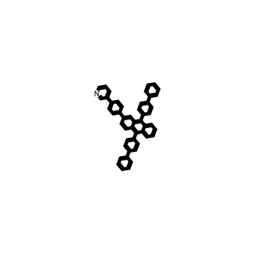 c1ccc(-c2ccc(-c3c4ccccc4c(-c4ccc(-c5ccccc5)cc4)c4cc(-c5ccc(-c6cccnc6)cc5)ccc34)cc2)cc1